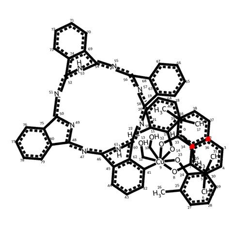 Cc1cccc(C)c1[O][Cu]([CH2]O)([CH2]O)([O]c1c(C)cccc1C)([O]c1c(C)cccc1C)([O]c1c(C)cccc1C)[c]1cccc2c3nc4nc(nc5[nH]c(nc6nc(nc([nH]3)c12)-c1ccccc1-6)c1ccccc51)-c1ccccc1-4